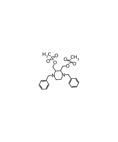 CS(=O)(=O)OCC1C(COS(C)(=O)=O)N(Cc2ccccc2)CCN1Cc1ccccc1